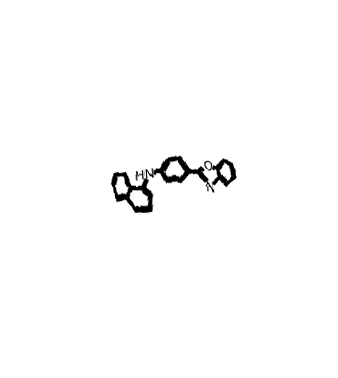 c1ccc2c(Nc3ccc(-c4nc5ccccc5o4)cc3)cccc2c1